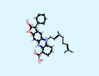 CC(C)=CCC/C(C)=C/Cn1c2cc3c(-c4ccccc4)c(=O)oc3cc2nc2c(C(=O)O)cccc21